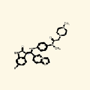 CN1CCN(CC(=O)N(C)c2ccc(N/C(=C3\C(=O)Nc4cc(F)ccc43)c3ccc4nccn4c3)cc2)CC1